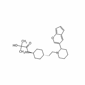 CC(C)(O)C(=O)N[C@H]1CC[C@H](CCN2CCCCC2c2coc3cccc-3c2)CC1